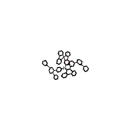 c1ccc(-c2cccc(-c3cccc(-c4c(N(c5ccc(-c6cc(-c7ccccc7)ccc6-c6ccccc6)cc5)c5ccc6c(c5)C5(c7ccccc7-c7ccccc75)c5ccccc5-6)c5ccccc5c5ccccc45)c3)c2)cc1